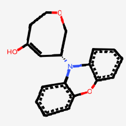 OC1=C[C@@H](N2c3ccccc3Oc3ccccc32)COCC1